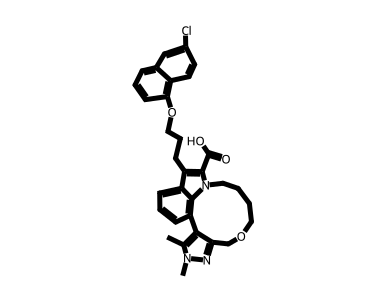 Cc1c2c(nn1C)COCCCCn1c(C(=O)O)c(CCCOc3cccc4cc(Cl)ccc34)c3cccc-2c31